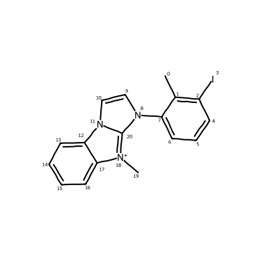 Cc1c(I)cccc1-n1ccn2c3ccccc3[n+](C)c12